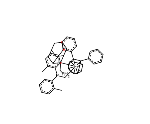 Cc1ccccc1P(C[C]12[CH]3[C]4(c5ccccc5)[C]5(c6ccccc6)[C]1(C1(CP)C6CC7CC(C6)CC1C7)[Fe]32451678[CH]2[CH]1[CH]6[CH]7[CH]28)c1ccccc1C